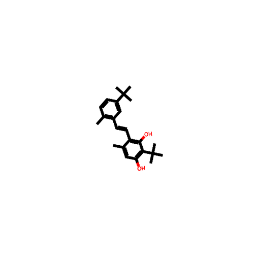 Cc1ccc(C(C)(C)C)cc1C=Cc1c(C)cc(O)c(C(C)(C)C)c1O